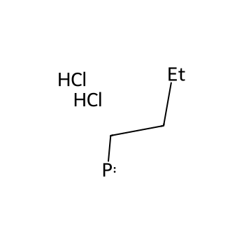 CCCC[P].Cl.Cl